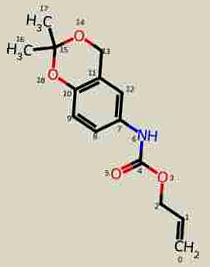 C=CCOC(=O)Nc1ccc2c(c1)COC(C)(C)O2